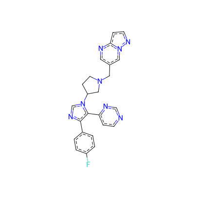 Fc1ccc(-c2ncn(C3CCN(Cc4cnc5ccnn5c4)C3)c2-c2ccncn2)cc1